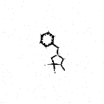 CC1CN(Cc2ccccc2)CC1(F)F